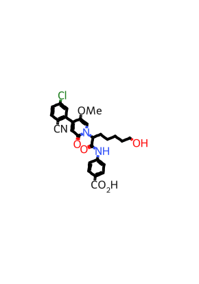 COc1cn(C(CCCCCO)C(=O)Nc2ccc(C(=O)O)cc2)c(=O)cc1-c1cc(Cl)ccc1C#N